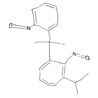 CC(C)c1cccc(C(C)(C)c2ccccc2N=O)c1N=O